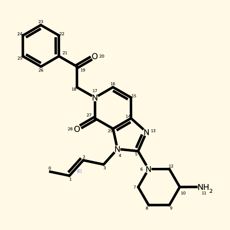 C/C=C/Cn1c(N2CCCC(N)C2)nc2ccn(CC(=O)c3ccccc3)c(=O)c21